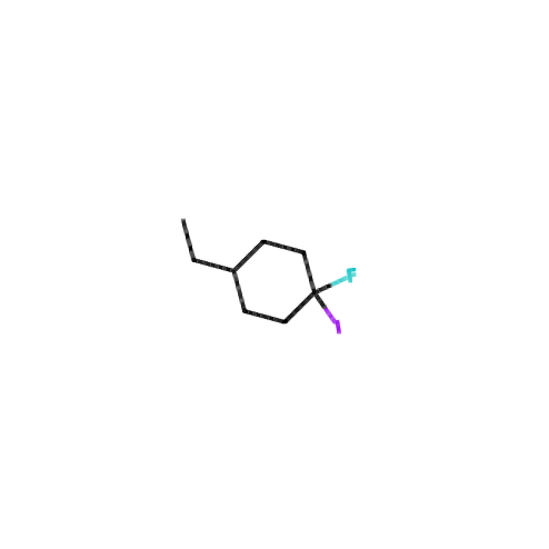 CCC1CCC(F)(I)CC1